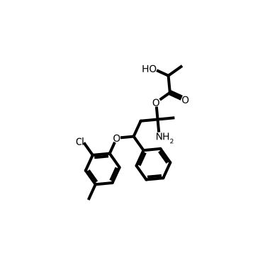 Cc1ccc(OC(CC(C)(N)OC(=O)C(C)O)c2ccccc2)c(Cl)c1